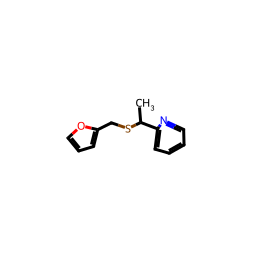 CC(SCc1ccco1)c1ccccn1